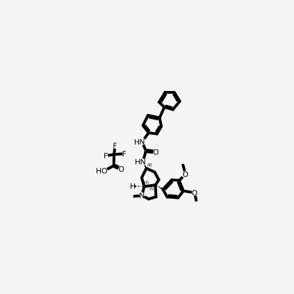 COc1ccc([C@@]23CC[C@@H](NC(=O)Nc4ccc(-c5ccccc5)cc4)C[C@@H]2N(C)CC3)cc1OC.O=C(O)C(F)(F)F